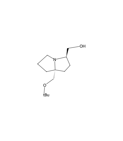 CC(C)(C)OC[C@]12CCCN1[C@@H](CO)CC2